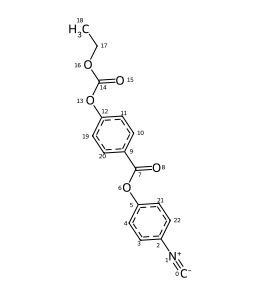 [C-]#[N+]c1ccc(OC(=O)c2ccc(OC(=O)OCC)cc2)cc1